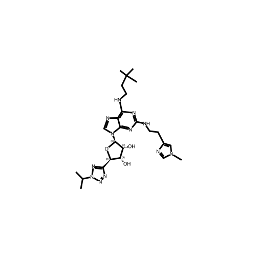 CC(C)n1nnc([C@H]2O[C@@H](n3cnc4c(NCCC(C)(C)C)nc(NCCc5cn(C)cn5)nc43)[C@H](O)[C@@H]2O)n1